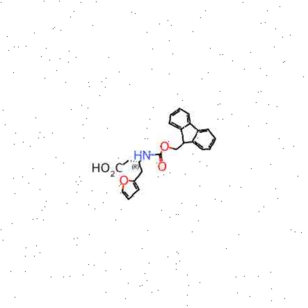 O=C(O)C[C@@H](Cc1ccco1)NC(=O)OCC1c2ccccc2-c2ccccc21